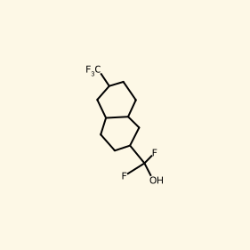 OC(F)(F)C1CCC2CC(C(F)(F)F)CCC2C1